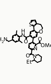 CCC1CCCCN1C(=O)c1ccc(-c2cc3c(cc2C(=O)Nc2c(C)cc(CN)cc2C)-c2sccc2CCO3)c(C(=O)OC)n1